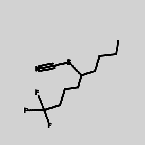 CCCCC(CCCC(F)(F)F)SC#N